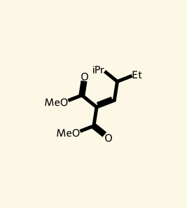 CCC(C=C(C(=O)OC)C(=O)OC)C(C)C